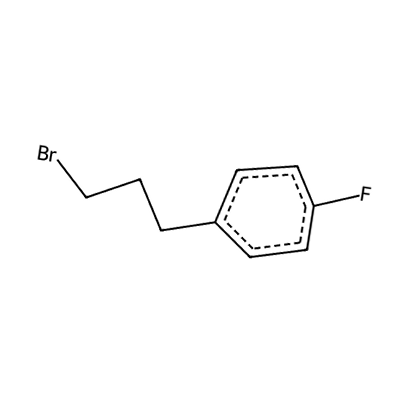 Fc1ccc(CCCBr)cc1